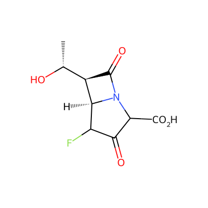 C[C@@H](O)[C@H]1C(=O)N2C(C(=O)O)C(=O)C(F)[C@@H]12